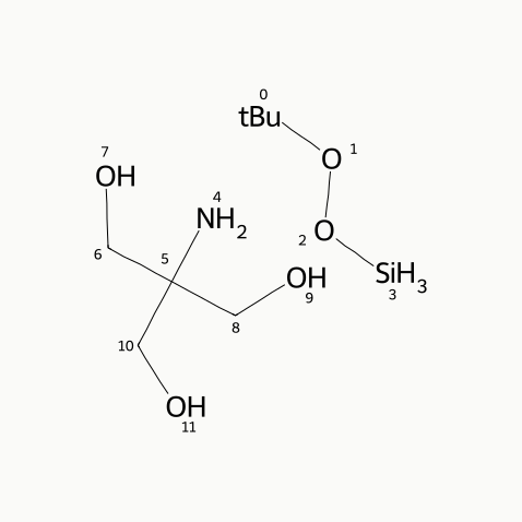 CC(C)(C)OO[SiH3].NC(CO)(CO)CO